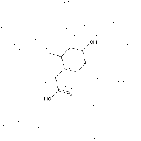 CC1CC(O)CCC1CC(=O)O